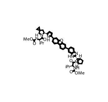 COC(=O)N[C@H](C(=O)N1CC2(CC2)C[C@H]1c1ccc(-c2ccc3c(c2)oc2cc(-c4ccc5nc([C@@H]6[C@H]7CC[C@H](C7)N6C(=O)[C@@H](NC(=O)OC)C(C)C)[nH]c5c4)ccc23)[nH]1)C(C)C